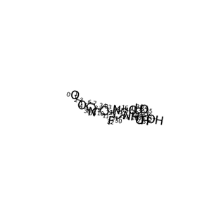 COCCOc1ccc(-c2ccc(-c3nc4cc(O[C@@H]5CO[C@H]6[C@@H]5OC[C@H]6O)[nH]c4cc3F)cc2)nc1